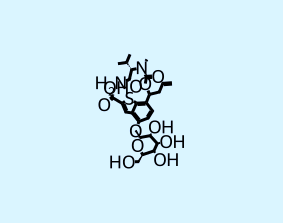 C=CCC(OC(=O)N(C)[C@H](C(N)=O)C(C)C)c1ccc(O[C@@H]2O[C@H](CO)[C@H](O)[C@H](O)[C@H]2O)c2cc(C(=O)O)sc12